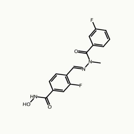 CN(/N=C/c1ccc(C(=O)NO)cc1F)C(=O)c1cccc(F)c1